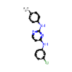 FC(F)(F)c1ccc(Nc2nccc(Nc3cccc(Cl)c3)n2)cc1